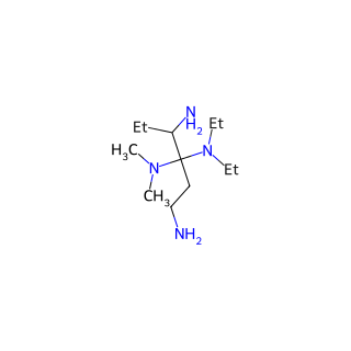 CCC(N)C(CCN)(N(C)C)N(CC)CC